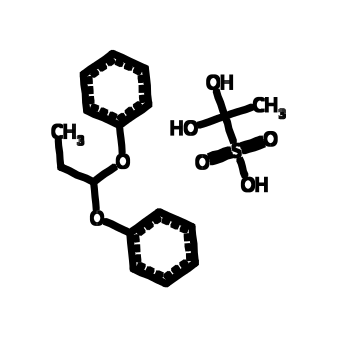 CC(O)(O)S(=O)(=O)O.CCC(Oc1ccccc1)Oc1ccccc1